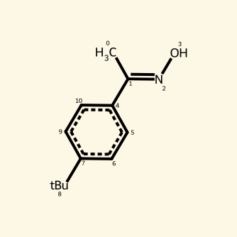 C/C(=N\O)c1ccc(C(C)(C)C)cc1